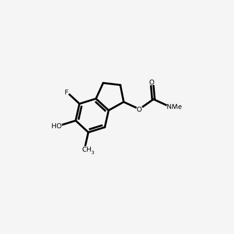 CNC(=O)OC1CCc2c1cc(C)c(O)c2F